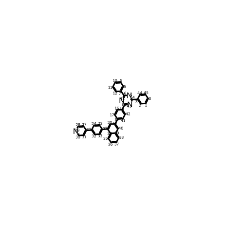 c1ccc(-c2nc(-c3ccccc3)nc(-c3ccc(-c4cc(-c5ccc(-c6ccncc6)cc5)c5ccccc5c4)cc3)n2)cc1